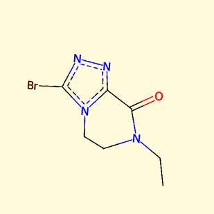 CCN1CCn2c(Br)nnc2C1=O